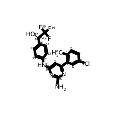 Cc1ccc(Cl)cc1-c1cc(Nc2ccc([C@H](O)C(F)(F)F)cc2)nc(N)n1